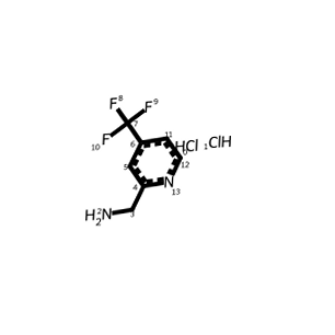 Cl.Cl.NCc1cc(C(F)(F)F)ccn1